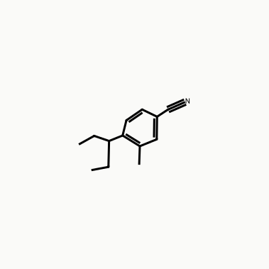 CCC(CC)c1ccc(C#N)cc1C